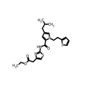 CCOC(=O)Cc1csc(NC(=O)c2cc(CC(C)C)cn2CCc2cccs2)n1